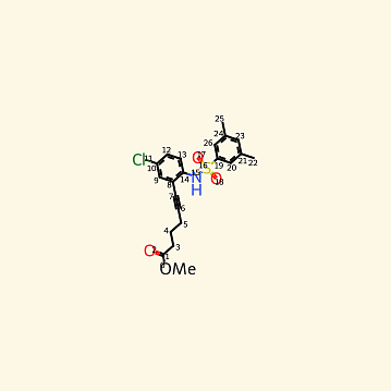 COC(=O)CCCC#Cc1cc(Cl)ccc1NS(=O)(=O)c1cc(C)cc(C)c1